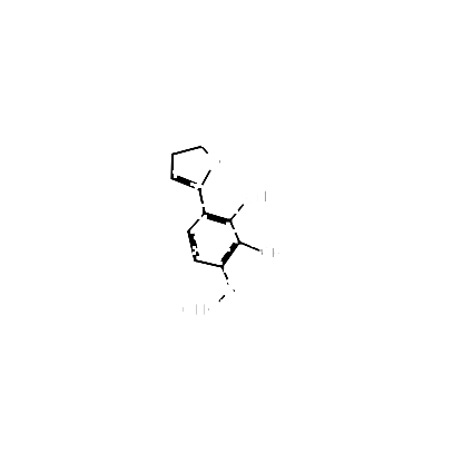 Cc1c(NC=O)ccc(C2=CCCO2)c1C